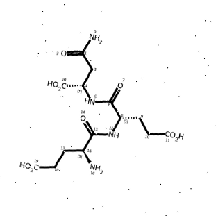 NC(=O)C[C@H](NC(=O)[C@H](CCC(=O)O)NC(=O)[C@@H](N)CCC(=O)O)C(=O)O